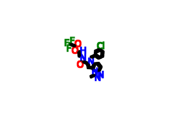 Cc1nnc2ccc3c(cc(C(=O)NCCOC(=O)C(F)(F)F)n3Cc3cccc(Cl)c3)n12